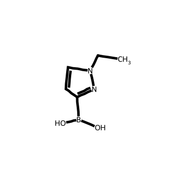 CCn1ccc(B(O)O)n1